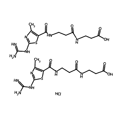 Cc1nc(NC(=N)N)sc1C(=O)NCCC(=O)NCCC(=O)O.Cc1nc(NC(=N)N)sc1C(=O)NCCC(=O)NCCC(=O)O.Cl